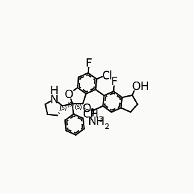 C[C@H]1c2c(cc(F)c(Cl)c2-c2c(C(N)=O)cc3c(c2F)C(O)CC3)O[C@@]1(c1ccccc1)[C@@H]1CCCN1